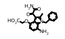 Cc1c(C(=O)C(N)=O)c2c(OCC(=O)O)ccc(N)c2n1Cc1ccccc1